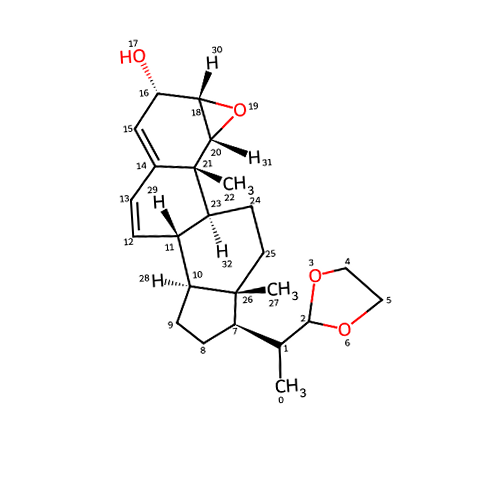 CC(C1OCCO1)[C@H]1CC[C@H]2[C@@H]3C=CC4=C[C@H](O)[C@@H]5O[C@@H]5[C@]4(C)[C@H]3CC[C@]12C